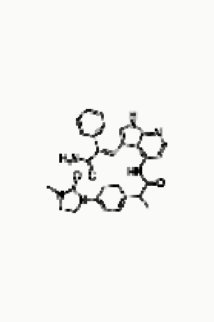 CC(C(=O)Nc1ccnc2[nH]cc(C=C(C(N)=O)c3ccccc3)c12)c1ccc(N2CCN(C)C2=O)cc1